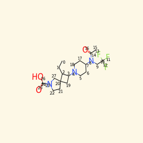 CCC1C(N2CCC(N(CC(F)(F)F)C(C)=O)CC2)CC12CCN(C(=O)O)C2